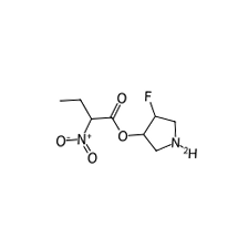 [2H]N1CC(F)C(OC(=O)C(CC)[N+](=O)[O-])C1